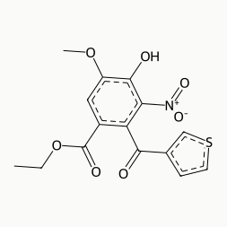 CCOC(=O)c1cc(OC)c(O)c([N+](=O)[O-])c1C(=O)c1ccsc1